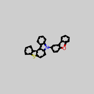 c1ccc2c(c1)oc1ccc(-n3c4ccccc4c4c5c(ccc43)sc3ccccc35)cc12